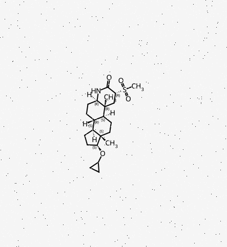 C[C@]12C[C@@H](S(C)(=O)=O)C(=O)N[C@@H]1CC[C@@H]1[C@@H]2CC[C@]2(C)[C@@H](OC3CC3)CC[C@@H]12